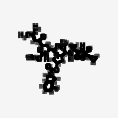 CC[C@@H]1C[C@]1(NC(=O)C1CC(OC(=O)N2Cc3cccc(F)c3C2)CN1C(=O)[C@H](CCC(=O)C=C(C)C)NC(=O)OC(C)(C)C)C(=O)NS(=O)(=O)C1CC1